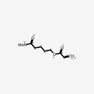 C=CC(=O)OCCCCC(=O)NC